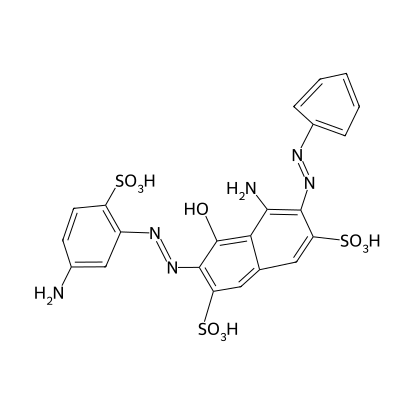 Nc1ccc(S(=O)(=O)O)c(N=Nc2c(S(=O)(=O)O)cc3cc(S(=O)(=O)O)c(N=Nc4ccccc4)c(N)c3c2O)c1